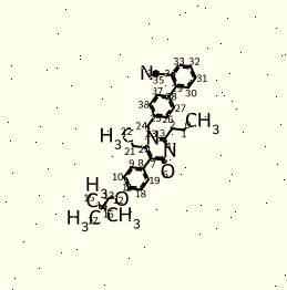 CCCc1nc(=O)c(-c2ccc(OCC(C)(C)C)cc2)c(CC)n1Cc1ccc(-c2ccccc2C#N)cc1